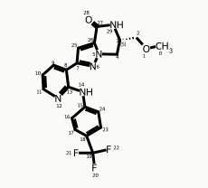 COC[C@@H]1Cn2nc(-c3cccnc3Nc3ccc(C(F)(F)F)cc3)cc2C(=O)N1